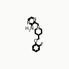 Nc1nccnc1CN1CCC(COc2ccccc2F)CC1